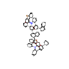 c1ccc(-c2ccc(-c3ccccc3N(c3ccccc3-c3cccc(-c4ccc(-c5ccc(N(c6ccccc6-c6cccc(-c7cccc8ccccc78)c6)c6cccc7sc8ccccc8c67)c(-c6ccccc6)c5)c5ccccc45)c3)c3cccc4sc5ccccc5c34)cc2)cc1